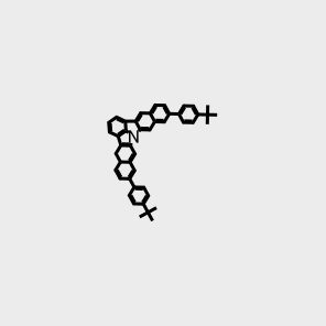 CC(C)(C)c1ccc(C2=CC3=Cc4c(c5cccc6c7cc8ccc(-c9ccc(C(C)(C)C)cc9)cc8cc7n4c56)CC3C=C2)cc1